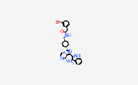 Nc1nccn2c1c(-c1cc3ccccc3[nH]1)nc2[C@H]1CC[C@H](CNC(=O)Cc2cccc(Br)c2)CC1